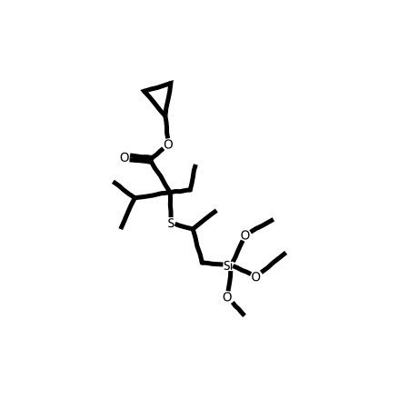 CCC(SC(C)C[Si](OC)(OC)OC)(C(=O)OC1CC1)C(C)C